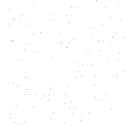 CC(C)CC([C]=O)c1ccccc1